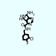 NC1NNc2c(C(=O)NCc3ccc(F)c(Cl)c3)ncnc21